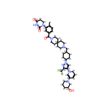 Cc1ccc(C(=O)N2CCC3(CCN(CC4CCC(n5cc(N6C=C(N7CCC[C@H](O)C7)C=CC6)c(C(F)F)n5)CC4)CC3)CC2)cc1N1CCC(=O)NC1=O